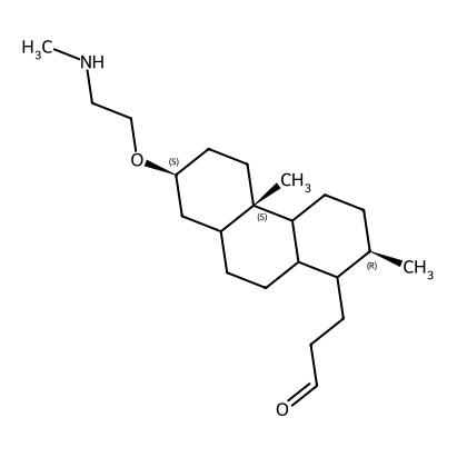 CNCCO[C@H]1CC[C@@]2(C)C(CCC3C(CCC=O)[C@H](C)CCC32)C1